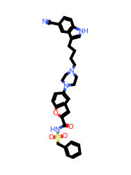 N#Cc1ccc2[nH]cc(CCCCN3CCN(c4ccc5oc(C(=O)NS(=O)(=O)Cc6ccccc6)cc5c4)CC3)c2c1